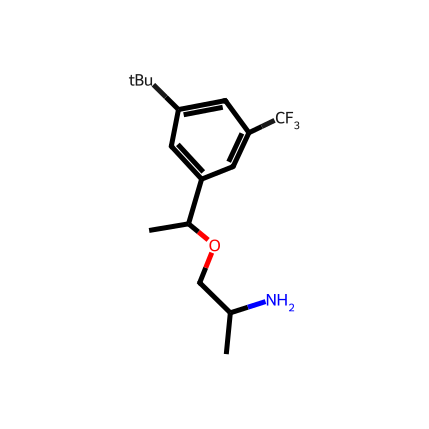 CC(N)COC(C)c1cc(C(C)(C)C)cc(C(F)(F)F)c1